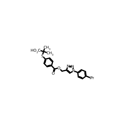 CC(C)c1ccc(-n2cc(COC(=O)c3ccc(SC(C)(C)C(=O)O)cc3)nn2)cc1